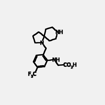 O=C(O)CNc1cc(C(F)(F)F)ccc1CN1CCCC12CCNCC2